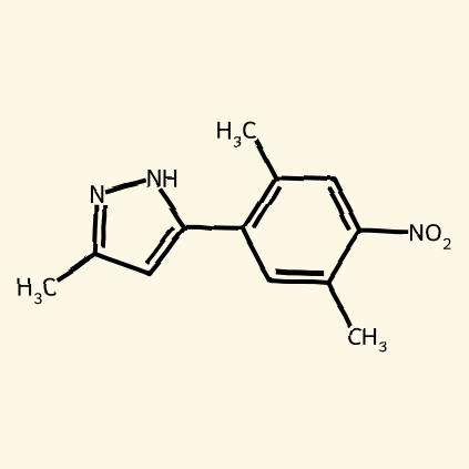 Cc1cc(-c2cc(C)c([N+](=O)[O-])cc2C)[nH]n1